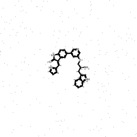 N[C@H](COc1cncc(-c2ccc3c(c2)C(=Cc2ccc[nH]2)C(=O)N3)c1)Cc1c[nH]c2ccccc12